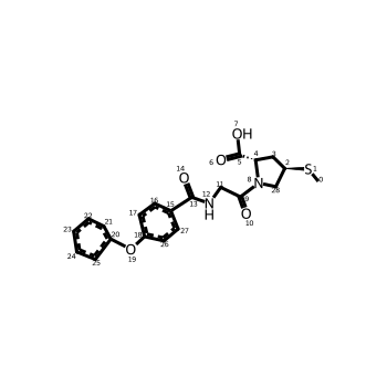 CS[C@@H]1C[C@@H](C(=O)O)N(C(=O)CNC(=O)c2ccc(Oc3ccccc3)cc2)C1